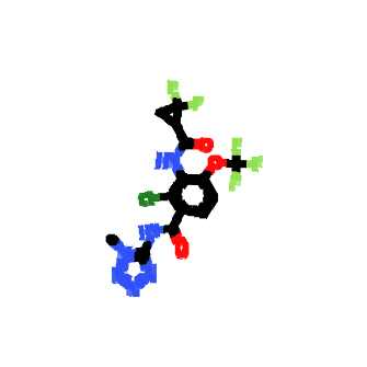 Cn1nnnc1NC(=O)c1ccc(OC(F)(F)F)c(NC(=O)C2CC2(F)F)c1Cl